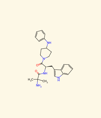 CC(C)(N)C(=O)N[C@H](Cc1c[nH]c2ccccc12)C(=O)N1CCC(Nc2ccccc2)CC1